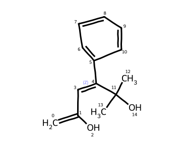 C=C(O)/C=C(/c1ccccc1)C(C)(C)O